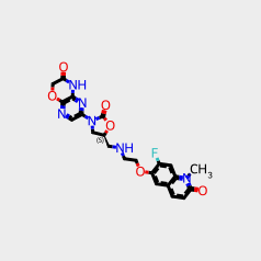 Cn1c(=O)ccc2cc(OCCNC[C@H]3CN(c4cnc5c(n4)NC(=O)CO5)C(=O)O3)c(F)cc21